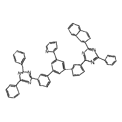 c1ccc(-c2nc(-c3ccccc3)nc(-c3cccc(-c4cc(-c5cccc(-c6nc(-c7ccccc7)nc(-c7ccc8ccccc8c7)n6)c5)cc(-c5ccccn5)c4)c3)n2)cc1